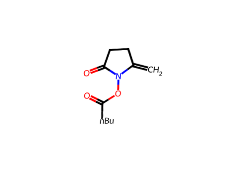 C=C1CCC(=O)N1OC(=O)CCCC